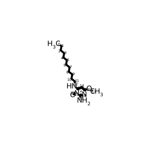 CCCCCCCCCCCCNc1cc(OC)nc(N)[n+]1[O-]